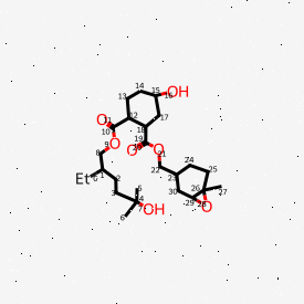 CCC(CCC(C)(C)O)COC(=O)C1CCC(O)CC1C(=O)OCC1CCC2(C)OC2C1